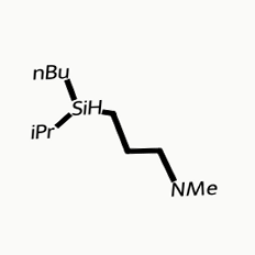 CCCC[SiH](CCCNC)C(C)C